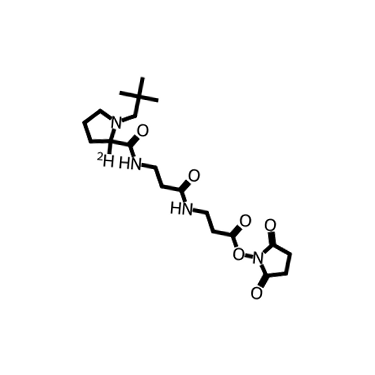 [2H]C1(C(=O)NCCC(=O)NCCC(=O)ON2C(=O)CCC2=O)CCCN1CC(C)(C)C